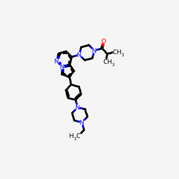 CCN1CCN(C2=CCC(c3cc4c(N5CCN(C(=O)C(C)C)CC5)ccnn4c3)C=C2)CC1